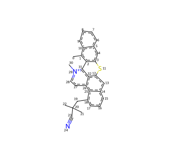 Cc1c2c(cc3ccccc13)Sc1cc3cccc(CC(C)(C)C#N)c3c3cc[n+](C)c-2c13